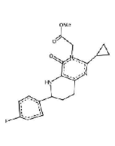 COC(=O)Cn1c(C2CC2)nc2c(c1=O)NC(c1ccc(F)cc1)CC2